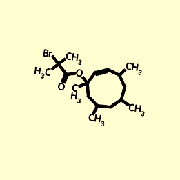 CC1/C=C\C(C)(OC(=O)C(C)(C)Br)CC(C)CC(C)C1